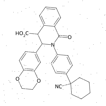 N#CC1(c2ccc(N3C(=O)c4ccccc4C(C(=O)O)C3c3ccc4c(c3)OCCO4)cc2)CCCCC1